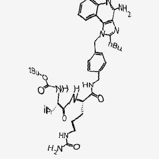 CCCCc1nc2c(N)nc3ccccc3c2n1Cc1ccc(CNC(=O)[C@H](CCCNC(N)=O)NC(=O)[C@@H](NC(=O)OC(C)(C)C)C(C)C)cc1